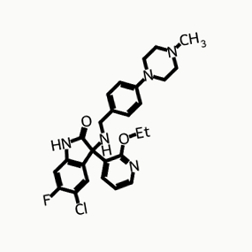 CCOc1ncccc1C1(NCc2ccc(N3CCN(C)CC3)cc2)C(=O)Nc2cc(F)c(Cl)cc21